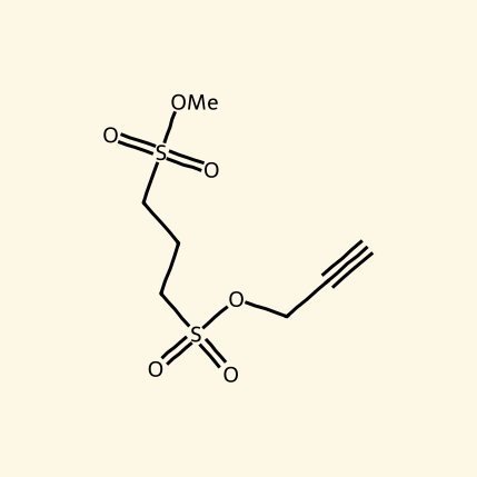 C#CCOS(=O)(=O)CCCS(=O)(=O)OC